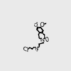 COc1cc2c(cc1OC)CC(=O)N(CCCN(C)CCCCl)CC2